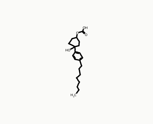 CCCCCCCCc1ccc(C2(O)CCC(OC(=O)O)CC2)cc1